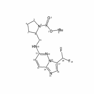 CC(C)(C)OC(=O)N1CCCC1CNc1ccc2ncc(C(F)F)n2n1